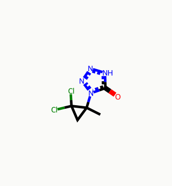 CC1(n2nn[nH]c2=O)CC1(Cl)Cl